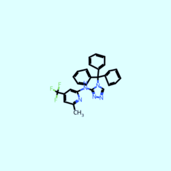 Cc1cc(C(F)(F)F)cc(Nc2nncn2C(c2ccccc2)(c2ccccc2)c2ccccc2)n1